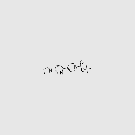 CC(C)(C)OC(=O)N1CC=C(c2ccc(N3CCCC3)cn2)CC1